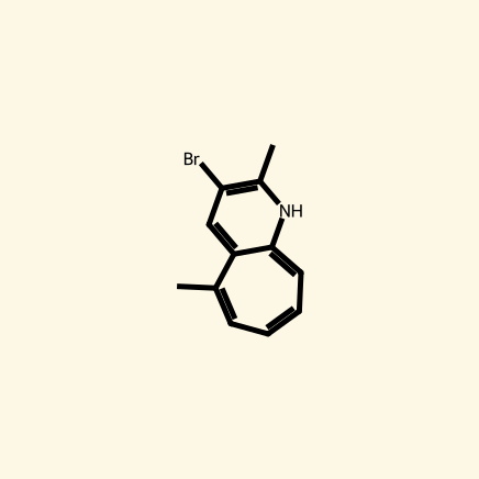 CC1=CC=CC=C2NC(C)=C(Br)C=C12